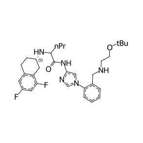 CCCC(N[C@H]1CCc2cc(F)cc(F)c2C1)C(=O)Nc1cn(-c2ccccc2CNCCOC(C)(C)C)cn1